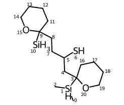 C[SiH](C)C1(CC(S)CCC2([SiH3])CCCCO2)CCCCO1